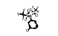 O=S(=O)(N(c1cccc(Cl)c1)S(=O)(=O)C(F)(F)F)C(F)(F)F